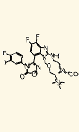 CN(CCNc1nc2c(F)c(F)cc(-c3noc(=O)n3-c3ccc(F)c(Cl)c3)c2n1COCC[Si](C)(C)C)C(=O)O